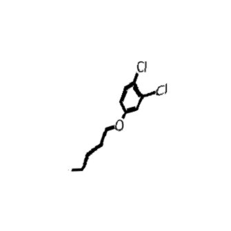 [CH2]CCCCOc1ccc(Cl)c(Cl)c1